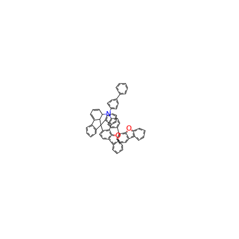 C1=CC(N(c2ccc(-c3ccccc3)cc2)c2ccc(-c3cccc4c3oc3ccccc34)cc2)C2C(=C1)c1ccccc1C21c2ccccc2-c2c1ccc1c2oc2ccccc21